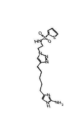 Nc1nc(CCCCCc2cn(CCNS(=O)(=O)c3cccs3)nn2)c[nH]1